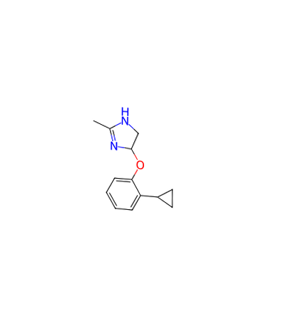 CC1=NC(Oc2ccccc2C2CC2)CN1